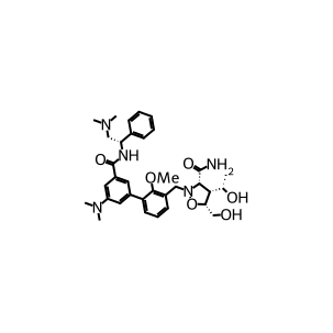 COc1c(CN2O[C@@H](CO)[C@@H]([C@H](C)O)[C@H]2C(N)=O)cccc1-c1cc(C(=O)N[C@H](CN(C)C)c2ccccc2)cc(N(C)C)c1